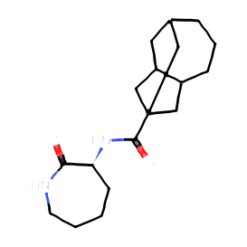 O=C1NCCCC[C@@H]1NC(=O)C12CC3CCCC(C1)C(C3)C2